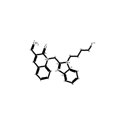 C=Cc1cc2ccccc2n(Cc2nc3ccccc3n2CCCCF)c1=O